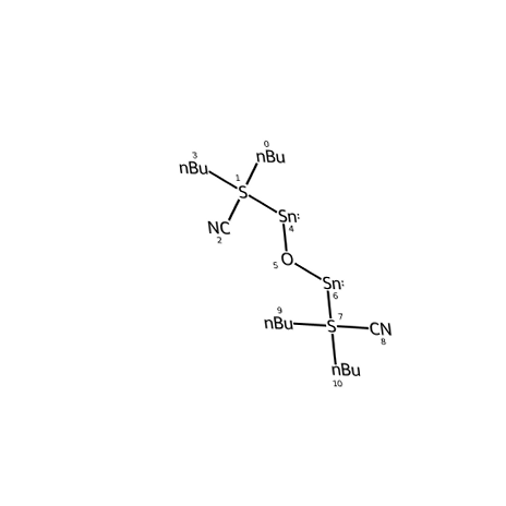 CCCC[S](C#N)(CCCC)[Sn][O][Sn][S](C#N)(CCCC)CCCC